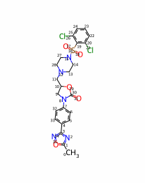 Cc1nc(-c2ccc(N3CC(CN4CCN(S(=O)(=O)c5c(Cl)cccc5Cl)CC4)OC3=O)cc2)no1